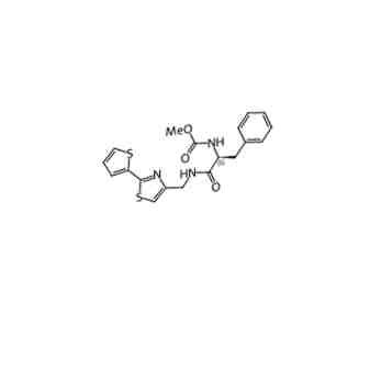 COC(=O)N[C@@H](Cc1ccccc1)C(=O)NCc1csc(-c2cccs2)n1